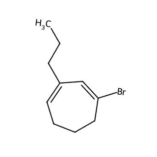 CCCC1=CCCCC(Br)=C1